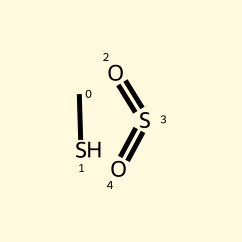 CS.O=S=O